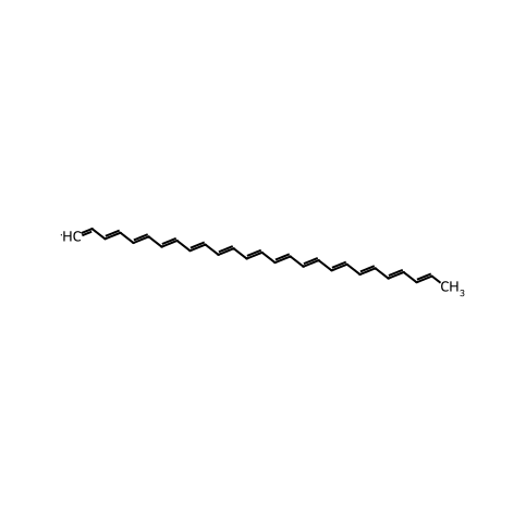 [CH]=CC=CC=CC=CC=CC=CC=CC=CC=CC=CC=CC=CC=CC